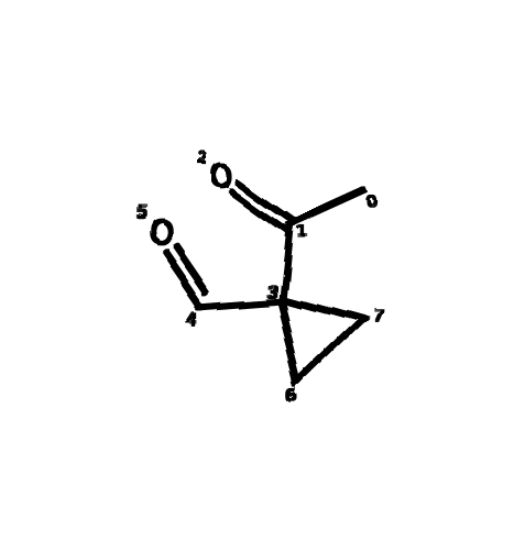 CC(=O)C1(C=O)CC1